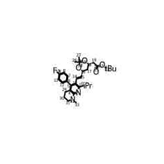 CC(C)c1nc2c(c(-c3ccc(F)cc3)c1/C=C/[C@@H]1C[C@H](CC(=O)OC(C)(C)C)OC(C)(C)O1)CCCN2C